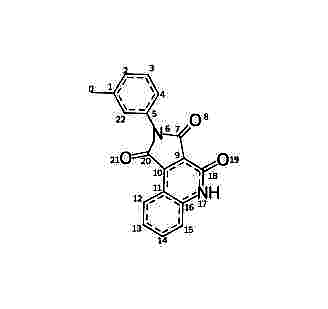 Cc1cccc(N2C(=O)c3c(c4ccccc4[nH]c3=O)C2=O)c1